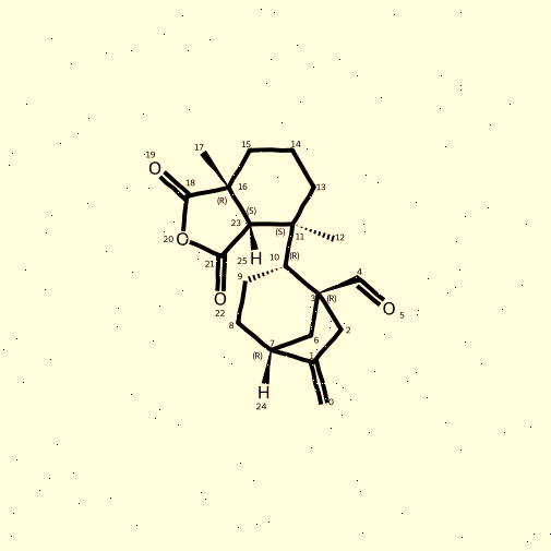 C=C1C[C@]2(C=O)C[C@H]1CC[C@@H]2[C@]1(C)CCC[C@@]2(C)C(=O)OC(=O)[C@@H]12